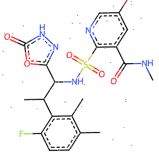 CNC(=O)c1cc(Br)cnc1S(=O)(=O)NC(c1n[nH]c(=O)o1)C(C)c1c(F)ccc(C)c1C